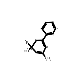 CC1=CC(O)(F)CC(c2ccccc2)=C1